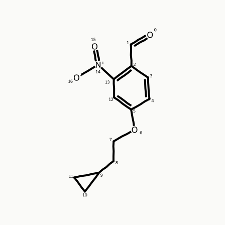 O=Cc1ccc(OCCC2CC2)cc1[N+](=O)[O-]